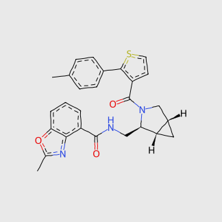 Cc1ccc(-c2sccc2C(=O)N2C[C@@H]3C[C@@H]3[C@H]2CNC(=O)c2cccc3oc(C)nc23)cc1